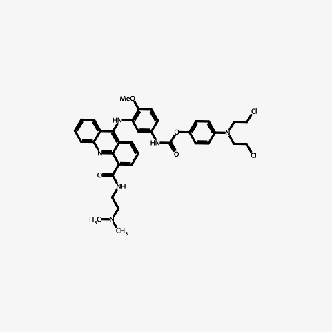 COc1ccc(NC(=O)Oc2ccc(N(CCCl)CCCl)cc2)cc1Nc1c2ccccc2nc2c(C(=O)NCCN(C)C)cccc12